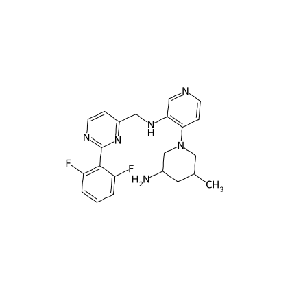 CC1CC(N)CN(c2ccncc2NCc2ccnc(-c3c(F)cccc3F)n2)C1